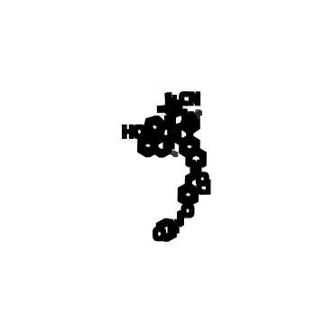 Cc1c(C(=O)N(c2ccc(O)cc2)c2cc(C#N)n(C)c2C)c(-c2cc3c(cc2C(=O)N2Cc4ccccc4C[C@H]2C)CN(C(=O)Cc2ccc(OCCN4CCOCC4)cc2Cl)CC3)cn1C